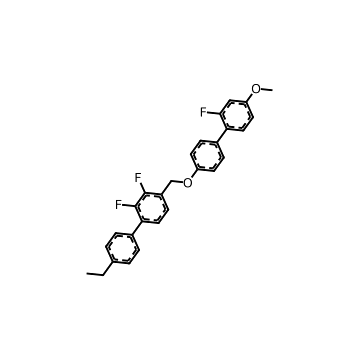 CCc1ccc(-c2ccc(COc3ccc(-c4ccc(OC)cc4F)cc3)c(F)c2F)cc1